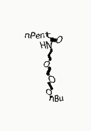 CCCCCC(=O)NCCCOCCOCCOCCCC